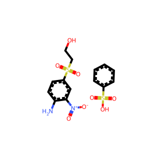 Nc1ccc(S(=O)(=O)CCO)cc1[N+](=O)[O-].O=S(=O)(O)c1ccccc1